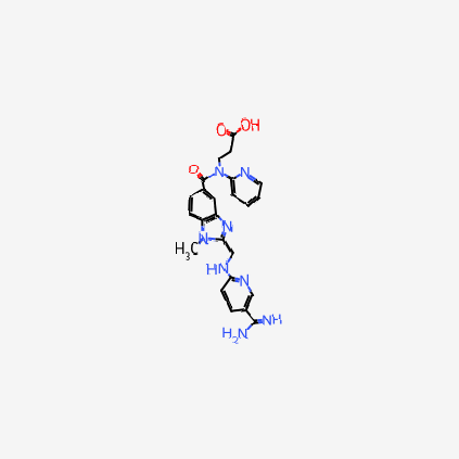 Cn1c(CNc2ccc(C(=N)N)cn2)nc2cc(C(=O)N(CCC(=O)O)c3ccccn3)ccc21